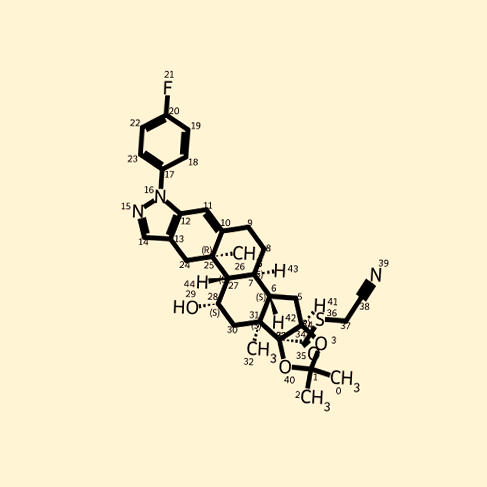 CC1(C)O[C@@H]2C[C@H]3[C@@H]4CCC5=Cc6c(cnn6-c6ccc(F)cc6)C[C@]5(C)[C@H]4[C@@H](O)C[C@]3(C)[C@]2(C(=O)SCC#N)O1